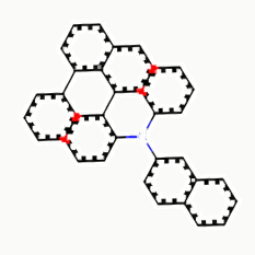 c1ccc(-c2cccc3cccc(-c4ccccc4N(c4ccccc4)c4ccc5ccccc5c4)c23)cc1